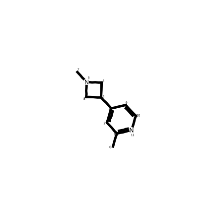 Cc1cc(C2CN(C)C2)ccn1